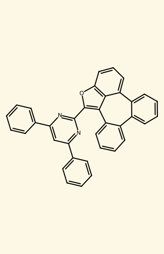 c1ccc(-c2cc(-c3ccccc3)nc(-c3oc4cccc5c4c3-c3ccccc3-c3ccccc3-5)n2)cc1